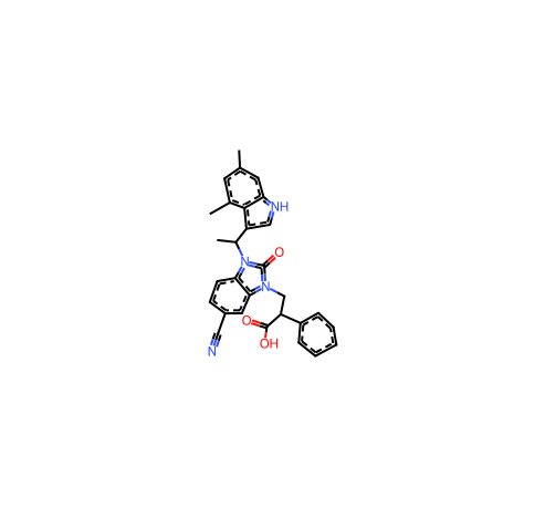 Cc1cc(C)c2c(C(C)n3c(=O)n(CC(C(=O)O)c4ccccc4)c4cc(C#N)ccc43)c[nH]c2c1